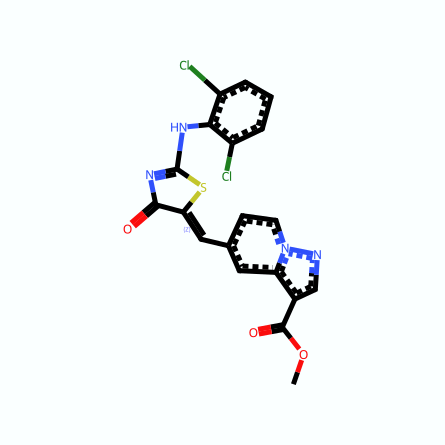 COC(=O)c1cnn2ccc(/C=C3\SC(Nc4c(Cl)cccc4Cl)=NC3=O)cc12